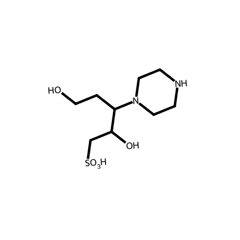 O=S(=O)(O)CC(O)C(CCO)N1CCNCC1